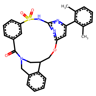 Cc1cccc(C)c1-c1cc2nc(n1)NS(=O)(=O)c1cccc(c1)C(=O)N1Cc3ccccc3C(CO2)C1